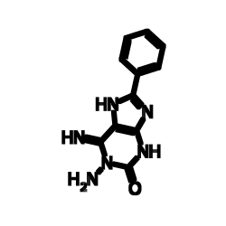 N=c1c2[nH]c(-c3ccccc3)nc2[nH]c(=O)n1N